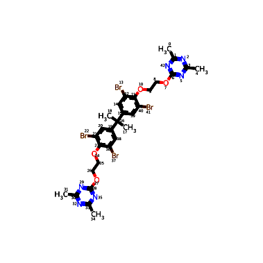 Cc1nc(C)nc(OCCOc2c(Br)cc(C(C)(C)c3cc(Br)c(OCCOc4nc(C)nc(C)n4)c(Br)c3)cc2Br)n1